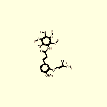 COc1ccc(C=CC(=O)Nc2c(SF)c(SF)c(SF)c(SF)c2SF)cc1OCC=C(C)C